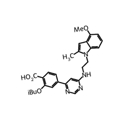 COc1cccc2c1cc(C)n2CCNc1cc(-c2ccc(C(=O)O)c(OCC(C)C)c2)ncn1